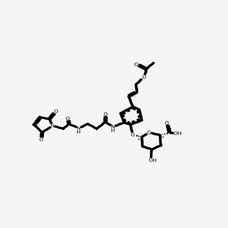 CC(=O)OC/C=C/c1ccc(O[C@H]2CC(O)C[C@@H](C(=O)O)O2)c(NC(=O)CCNC(=O)CN2C(=O)C=CC2=O)c1